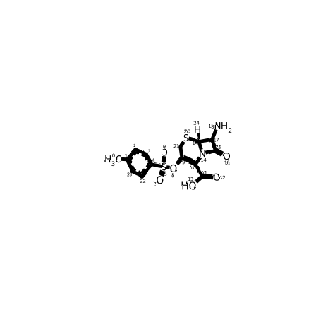 Cc1ccc(S(=O)(=O)OC2=C(C(=O)O)N3C(=O)C(N)[C@H]3SC2)cc1